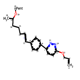 C=CCOc1ccc(-c2ccc(/C=C/CCCC(C)OCCCCC)cc2)nn1